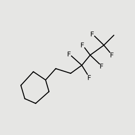 CC(F)(F)C(F)(F)C(F)(F)CCC1CCCCC1